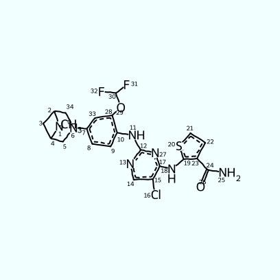 CN1C2CC1CN(c1ccc(Nc3ncc(Cl)c(Nc4sccc4C(N)=O)n3)c(OC(F)F)c1)C2